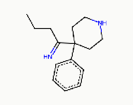 CCCC(=N)C1(c2ccccc2)CCNCC1